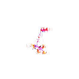 CC1(C)C(/C=C/C2=C(Oc3ccc(S(=O)(=O)O)cc3)C(=C/C=C3/N(CCCCS(=O)(=O)O)c4ccc(S(=O)(=O)O)cc4C3(C)C)/CCC2)=[N+](CCCCCC(=O)NCCOCCOCC(=O)NCCCC[C@H](NC(=O)N[C@@H](CCC(=O)O)C(=O)O)C(=O)O)c2ccc(S(=O)(=O)O)cc21